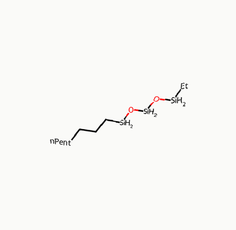 CCCCCCCC[SiH2]O[SiH2]O[SiH2]CC